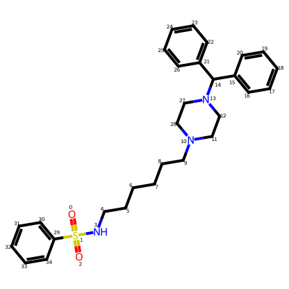 O=S(=O)(NCCCCCCN1CCN(C(c2ccccc2)c2ccccc2)CC1)c1ccccc1